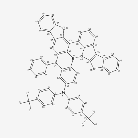 CC(C)(C)c1ccc(N(c2ccc(C(C)(C)C)cc2)c2ccc3c(c2)N(c2ccccc2)c2cc4c(oc5ccccc54)c4c2B3n2c3sc5ccccc5c3c3cccc-4c32)cc1